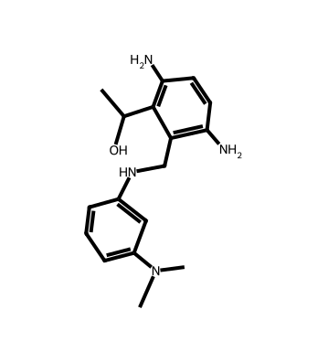 CC(O)c1c(N)ccc(N)c1CNc1cccc(N(C)C)c1